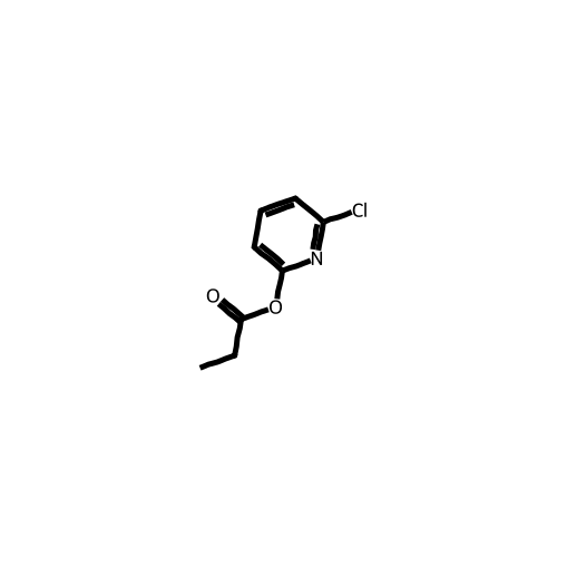 CCC(=O)Oc1cccc(Cl)n1